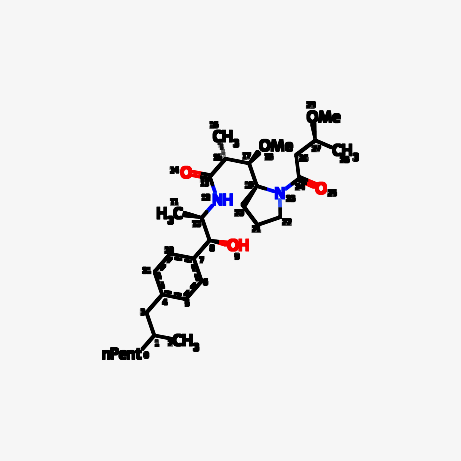 CCCCCC(C)Cc1ccc([C@H](O)[C@@H](C)NC(=O)[C@H](C)[C@@H](OC)[C@@H]2CCCN2C(=O)C[C@H](C)OC)cc1